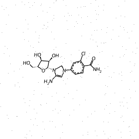 NC(=O)c1ccc(N2C=C(N)N([C@@H]3O[C@H](CO)[C@@H](O)[C@H]3O)C2)cc1Cl